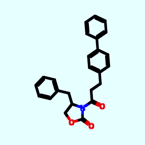 O=C(CCc1ccc(-c2ccccc2)cc1)N1C(=O)OCC1Cc1ccccc1